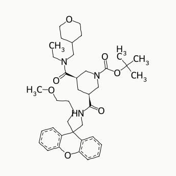 CCN(CC1CCOCC1)C(=O)[C@@H]1C[C@H](C(=O)NCC2(CCCCOC)c3ccccc3Oc3ccccc32)CN(C(=O)OC(C)(C)C)C1